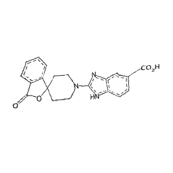 O=C(O)c1ccc2[nH]c(N3CCC4(CC3)OC(=O)c3ccccc34)nc2c1